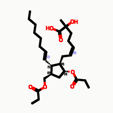 CCCCCC/C=C/[C@H]1[C@H](COC(=O)CC)C[C@@H](OC(=O)CC)[C@@H]1C/C=C\CCC(C)(O)C(=O)O